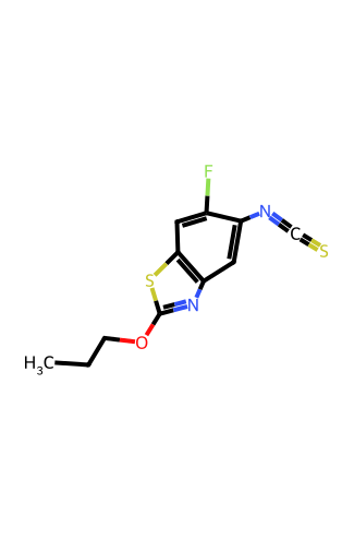 CCCOc1nc2cc(N=C=S)c(F)cc2s1